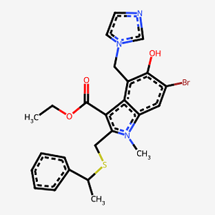 CCOC(=O)c1c(CSC(C)c2ccccc2)n(C)c2cc(Br)c(O)c(Cn3ccnc3)c12